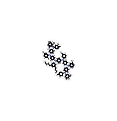 CCCCc1cc(CCCC)cc(N(c2ccc(N(c3ccc(N(c4ccc(N(c5ccc(C)cc5)c5cccc(C)c5)cc4)c4cccc(C)c4)cc3)c3cccc(C)c3)cc2)c2ccc(N(c3ccc(N(c4ccc(C)cc4)c4c(C)cccc4C)cc3)c3cc(C)ccc3C)cc2)c1